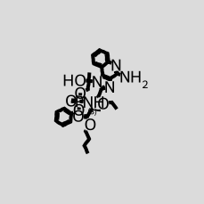 CCCCOC(=O)[C@H](C)NP(=O)(OCC(C)(O)n1c(COCC)nc2c(N)nc3ccccc3c21)Oc1ccccc1